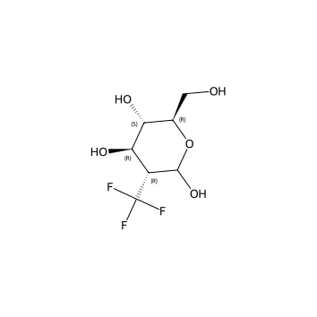 OC[C@H]1OC(O)[C@H](C(F)(F)F)[C@@H](O)[C@@H]1O